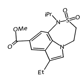 CCc1cn2c3c(cc(C(=O)OC)cc13)N(C(C)C)S(=O)(=O)CC2